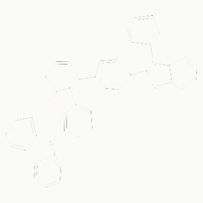 C1=CC2N=C(c3ccc(-c4cccc5oc6c(-n7c8ccccc8c8ccccc87)cccc6c45)cc3)N(c3ccccc3)[C@H]2C=C1